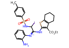 CCOC(=O)c1c(N/C(=N/c2ccccc2N)C(I)NS(=O)(=O)c2ccc(C)cc2)sc2c1CCCC2